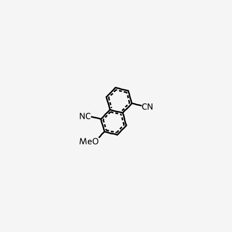 COc1ccc2c(C#N)cccc2c1C#N